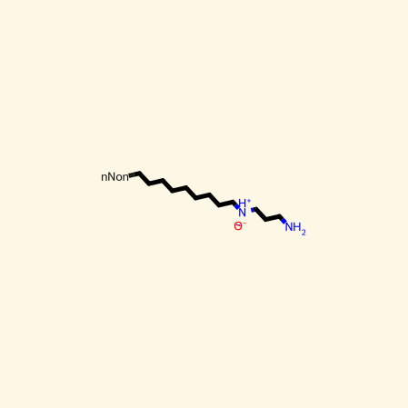 CCCCCCCCCCCCCCCCCC[NH+]([O-])CCCN